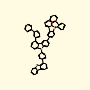 c1ccc(-c2cccc(-c3cccc4c3c3cc(-c5ccc6c(c5)c5ccccc5n6-c5ccccc5-c5ccccc5)ccc3n4-c3ccc(-c4cccc5c4oc4ccccc45)cc3)c2)cc1